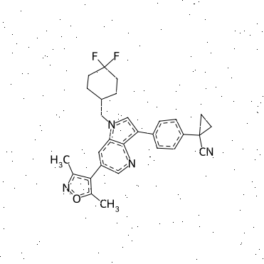 Cc1noc(C)c1-c1cnc2c(-c3ccc(C4(C#N)CC4)cc3)cn(CC3CCC(F)(F)CC3)c2c1